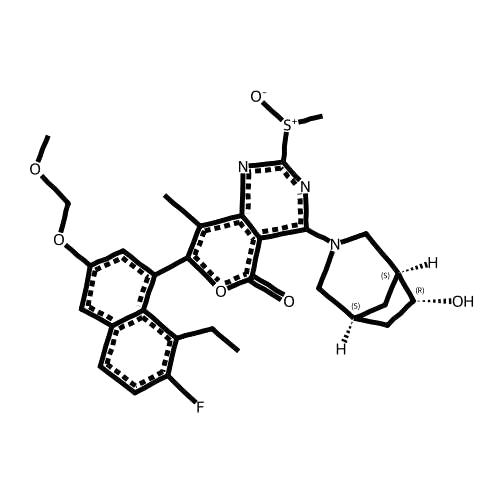 CCc1c(F)ccc2cc(OCOC)cc(-c3oc(=O)c4c(N5C[C@H]6C[C@@H](C5)[C@H](O)C6)nc([S+](C)[O-])nc4c3C)c12